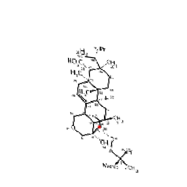 CN[C@@](C)(CO[C@H]1[C@H](C)C[C@@]23COC[C@@]1(C)[C@@H]2CC[C@H]1C3=CC[C@@]2(C)[C@H](C(=O)O)[C@@](C)([C@H](C)C(C)C)CC[C@]12C)C(C)C